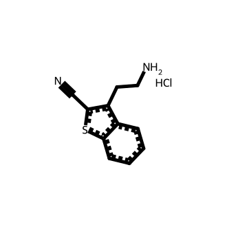 Cl.N#Cc1sc2ccccc2c1CCN